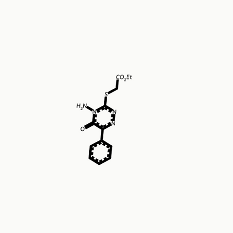 CCOC(=O)CSc1nnc(-c2ccccc2)c(=O)n1N